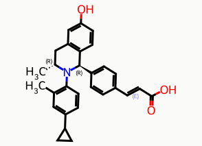 Cc1cc(C2CC2)ccc1N1[C@H](c2ccc(/C=C/C(=O)O)cc2)c2ccc(O)cc2C[C@H]1C